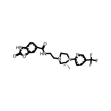 C[C@@H]1CN(CCNC(=O)c2ccc3[nH]c(=O)oc3c2)CCN1c1ccc(C(F)(F)F)cn1